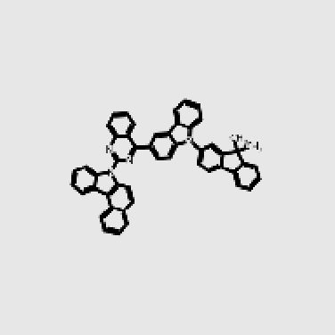 CC1(C)c2ccccc2-c2ccc(-n3c4ccccc4c4cc(-c5nc(-n6c7ccccc7c7c8ccccc8ccc76)nc6ccccc56)ccc43)cc21